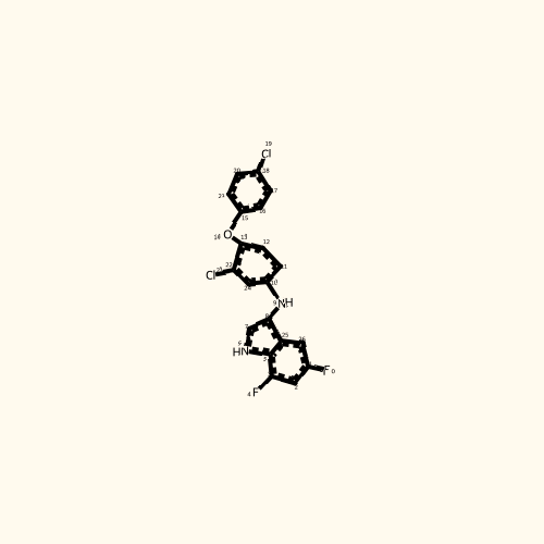 Fc1cc(F)c2[nH]cc(Nc3ccc(Oc4ccc(Cl)cc4)c(Cl)c3)c2c1